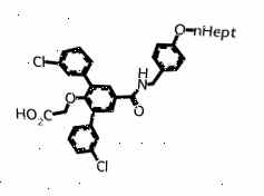 CCCCCCCOc1ccc(CNC(=O)c2cc(-c3cccc(Cl)c3)c(OCC(=O)O)c(-c3cccc(Cl)c3)c2)cc1